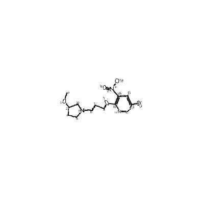 COC1CCN(CCCOc2ncc(Br)cc2[N+](=O)[O-])C1